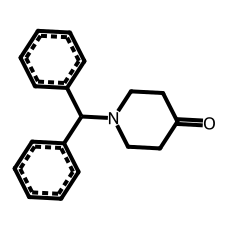 O=C1CCN(C(c2ccccc2)c2ccccc2)CC1